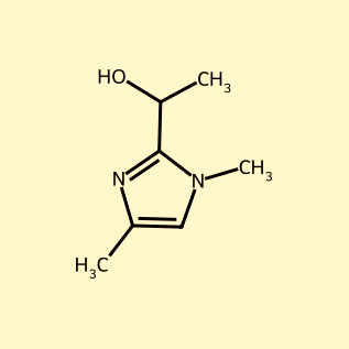 Cc1cn(C)c(C(C)O)n1